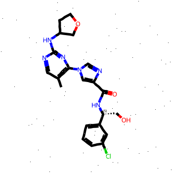 Cc1cnc(NC2CCOC2)nc1-n1cnc(C(=O)N[C@H](CO)c2cccc(Cl)c2)c1